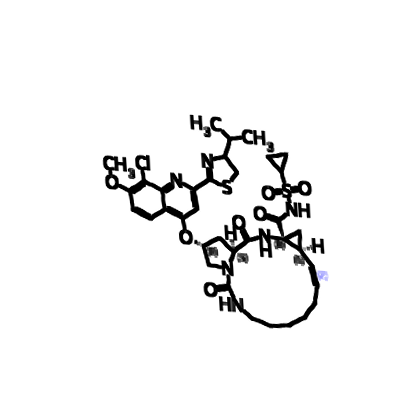 COc1ccc2c(O[C@@H]3C[C@H]4C(=O)N[C@]5(C(=O)NS(=O)(=O)C6CC6)C[C@H]5/C=C\CCCCCNC(=O)N4C3)cc(C3=NC(C(C)C)CS3)nc2c1Cl